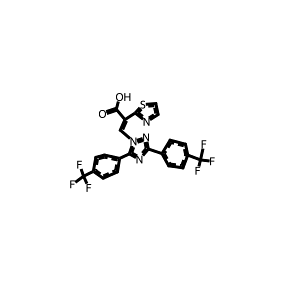 O=C(O)/C(=C/n1nc(-c2ccc(C(F)(F)F)cc2)nc1-c1ccc(C(F)(F)F)cc1)c1nccs1